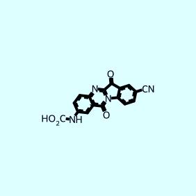 N#Cc1ccc2c(c1)C(=O)c1nc3ccc(NC(=O)O)cc3c(=O)n1-2